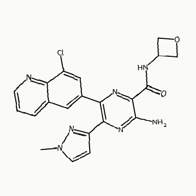 Cn1ccc(-c2nc(N)c(C(=O)NC3COC3)nc2-c2cc(Cl)c3ncccc3c2)n1